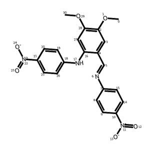 COc1cc(/C=N/c2ccc([N+](=O)[O-])cc2)c(Nc2ccc([N+](=O)[O-])cc2)cc1OC